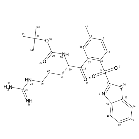 Cc1ccc(S(=O)(=O)c2nc3ccccc3s2)c(C(=O)[C@H](CCCNC(=N)N)NC(=O)OC(C)(C)C)c1